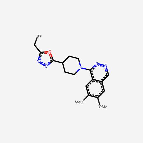 COc1cc2cnnc(N3CCC(c4nnc(CC(C)C)o4)CC3)c2cc1OC